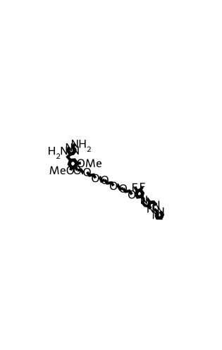 COc1cc(Cc2cnc(N)nc2N)cc(OC)c1OCCOCCOCCOCCOCCOCCOc1cc(N2CCc3nc(-c4ncccn4)ncc3C2)cc(F)c1F